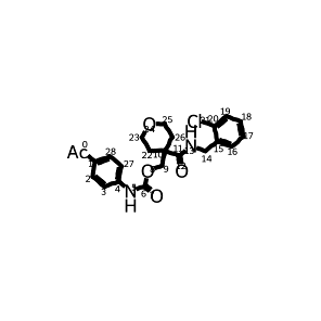 CC(=O)c1ccc(NC(=O)OCC2(C(=O)NCc3ccccc3Cl)CCOCC2)cc1